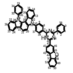 c1ccc(C2=NC(c3ccc(-n4c5ccccc5c5c4ccc4c6ccccc6n(-c6ccccc6)c45)cc3)NC(c3ccc4c(c3)oc3ccccc34)=N2)cc1